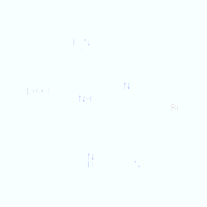 CCOC(=O)Nc1c[nH]c2ncc(Br)c(N3CCC[C@@H](N)C3)c12